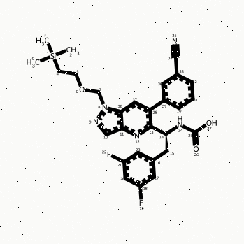 C[Si](C)(C)CCOCn1ncc2nc([C@H](Cc3cc(F)cc(F)c3)NC(=O)O)c(-c3cccc(C#N)c3)cc21